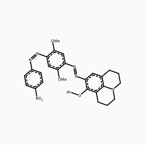 COc1cc(/N=N\c2ccc([N+](=O)[O-])cc2)c(OC)cc1N=Nc1cc2c3c(c1OC(C)C)CCCN3CCC2